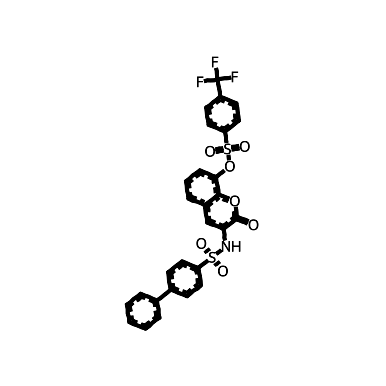 O=c1oc2c(OS(=O)(=O)c3ccc(C(F)(F)F)cc3)cccc2cc1NS(=O)(=O)c1ccc(-c2ccccc2)cc1